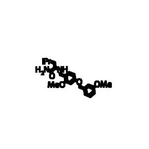 COc1cccc(COc2ccc(CNC(CC(C)C)C(N)=O)c(OC)c2)c1